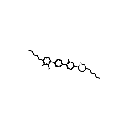 CCCCCc1ccc(-c2ccc(-c3ccc(C4CCC(CCCCC)CO4)cc3F)cc2)c(F)c1F